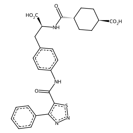 O=C(Nc1ccc(C[C@H](NC(=O)[C@H]2CC[C@H](C(=O)O)CC2)C(=O)O)cc1)c1snnc1-c1ccccc1